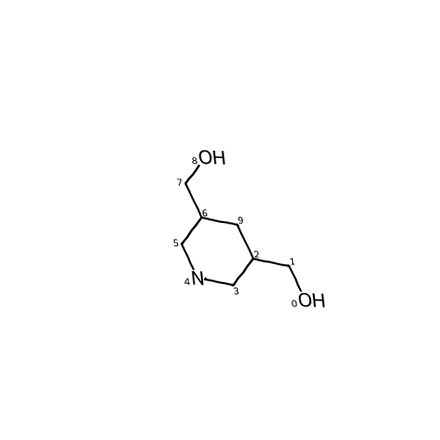 OCC1C[N]CC(CO)C1